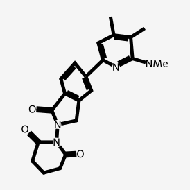 CNc1nc(-c2ccc3c(c2)CN(N2C(=O)CCCC2=O)C3=O)cc(C)c1C